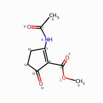 COC(=O)C1=C(NC(C)=O)CCC1=O